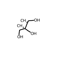 C.C.OCC(O)CO